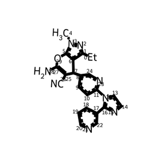 CCc1nn(C)c2c1C(c1ccc(-n3ccnc3-c3cccnc3)nc1)C(C#N)=C(N)O2